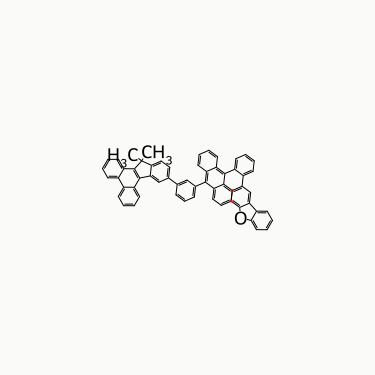 CC1(C)c2ccc(-c3cccc(-c4c5ccccc5c(-c5ccccc5-c5ccc6oc7ccccc7c6c5)c5ccccc45)c3)cc2-c2c1c1ccccc1c1ccccc21